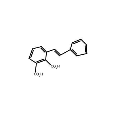 O=C(O)c1cccc(C=Cc2ccccc2)c1C(=O)O